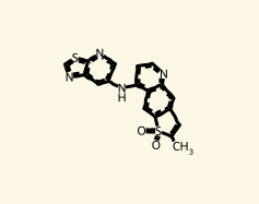 CC1=Cc2cc3nccc(Nc4cnc5scnc5c4)c3cc2S1(=O)=O